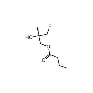 CCCC(=O)OC[C@](C)(O)CF